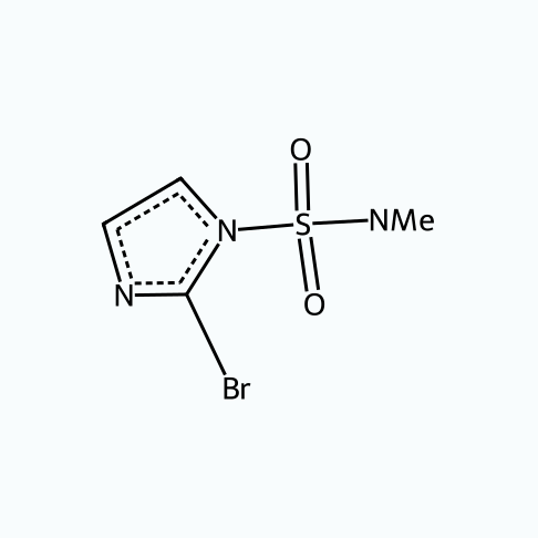 CNS(=O)(=O)n1ccnc1Br